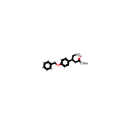 COC(=O)CC(C[N+](=O)[O-])c1ccc(OCc2ccccc2)cc1